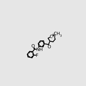 CN1CCC(C(=O)c2cccc(NC(=O)c3ccccc3F)c2)CC1